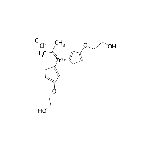 C[C](C)=[Zr+2]([C]1=CC(OCCO)=CC1)[C]1=CC(OCCO)=CC1.[Cl-].[Cl-]